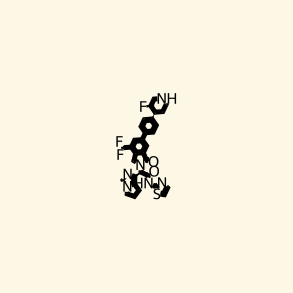 O=C(Nc1nccs1)[C@@H](c1ncn2c1CCC2)N1Cc2c(cc(-c3ccc([C@H]4CCNC[C@@H]4F)cc3)cc2C(F)F)C1=O